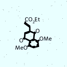 CCOC(=O)/C=C/C1=CC(=O)c2c(OC)ccc(OC)c2C1=O